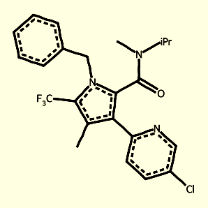 Cc1c(-c2ccc(Cl)cn2)c(C(=O)N(C)C(C)C)n(Cc2ccccc2)c1C(F)(F)F